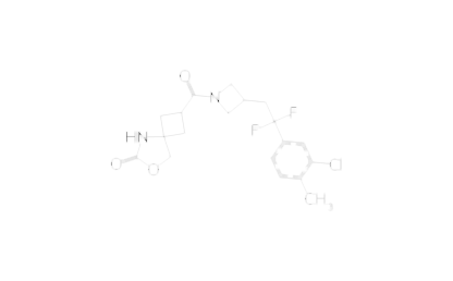 Cc1ccc(C(F)(F)CC2CN(C(=O)C3CC4(COC(=O)N4)C3)C2)cc1Cl